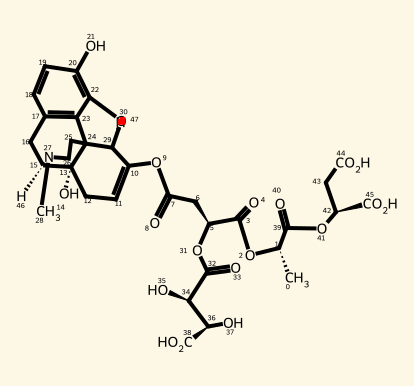 C[C@H](OC(=O)[C@H](CC(=O)OC1=CC[C@@]2(O)[C@H]3Cc4ccc(O)c5c4C2(CCN3C)[C@H]1O5)OC(=O)[C@H](O)[C@@H](O)C(=O)O)C(=O)O[C@@H](CC(=O)O)C(=O)O